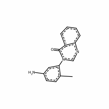 Cc1ccc(N)cc1-n1cnc2ccccc2c1=O